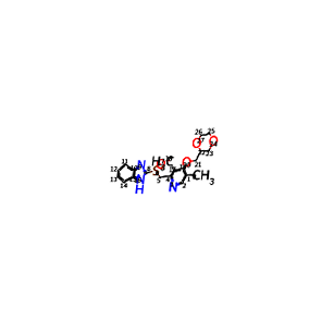 Cc1cnc(C[S+]([O-])c2nc3ccccc3[nH]2)c(C)c1OCC1COCCO1